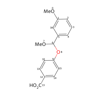 COc1cccc(C(OC)Oc2ccc(C(=O)O)cc2)c1